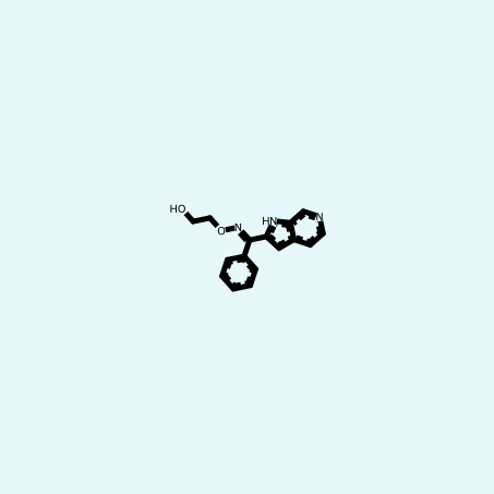 OCCO/N=C(\c1ccccc1)c1cc2ccncc2[nH]1